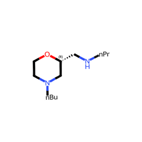 CCCCN1CCO[C@H](CNCCC)C1